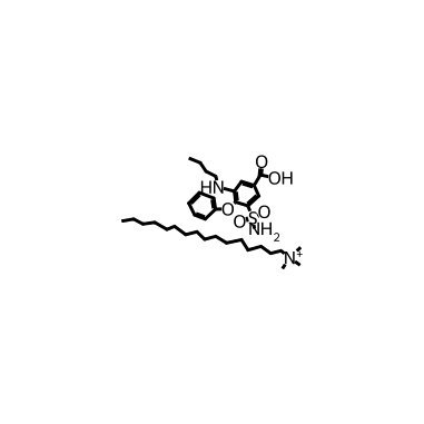 CCCCCCCCCCCCCCCC[N+](C)(C)C.CCCCNc1cc(C(=O)O)cc(S(N)(=O)=O)c1Oc1ccccc1